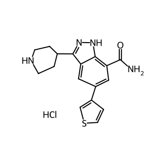 Cl.NC(=O)c1cc(-c2ccsc2)cc2c(C3CCNCC3)n[nH]c12